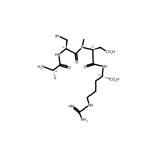 CC(C)C[C@H](NC(=O)[C@H](C)N)C(=O)N(C)[C@@H](CC(=O)O)C(=O)N[C@@H](CCCNC(=N)N)C(=O)O